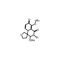 CCCCOc1c2n(ccc1=O)C1(CCOC1)C(OC)N(CC)C2=O